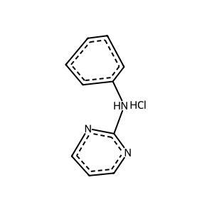 Cl.c1ccc(Nc2ncccn2)cc1